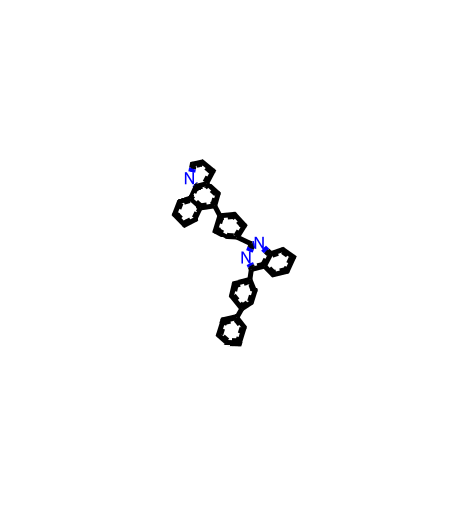 c1ccc(-c2ccc(-c3nc(-c4ccc(-c5cc6cccnc6c6ccccc56)cc4)nc4ccccc34)cc2)cc1